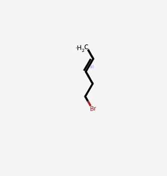 [CH2]/C=C/CCBr